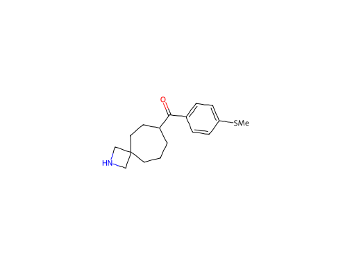 CSc1ccc(C(=O)C2CCCC3(CC2)CNC3)cc1